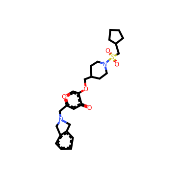 O=c1cc(CN2Cc3ccccc3C2)occ1OCC1CCN(S(=O)(=O)CC2CCCC2)CC1